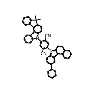 CC1(C)c2ccccc2-c2c1ccc1c2c2ccccc2n1-c1cc(C#N)c(-n2c3ccc(-c4ccccc4)cc3c3c4ccccc4ccc32)cc1C#N